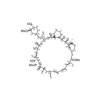 COC1CC2CC[C@@H](C)[C@@](O)(O2)C(=O)C(=O)N2CCCC[C@H]2C(=O)O[C@H]([C@H](C)C[C@@H]2CC[C@@H](O)[C@H](OC)C2)CC(=O)[C@H](C)/C=C(\C)[C@@H](O)[C@@H](OC)C(=O)[C@H](C)C[C@H](C)/C=C/C=C/C=C/1C